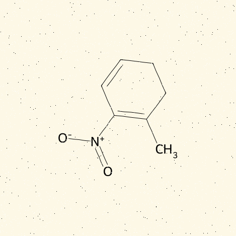 CC1=C([N+](=O)[O-])C=CCC1